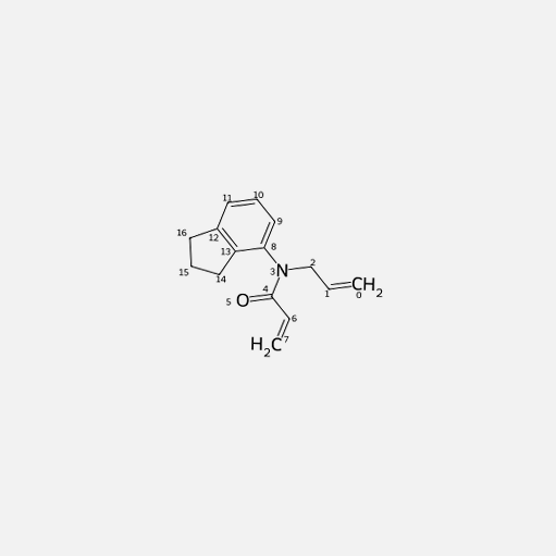 C=CCN(C(=O)C=C)c1cccc2c1CCC2